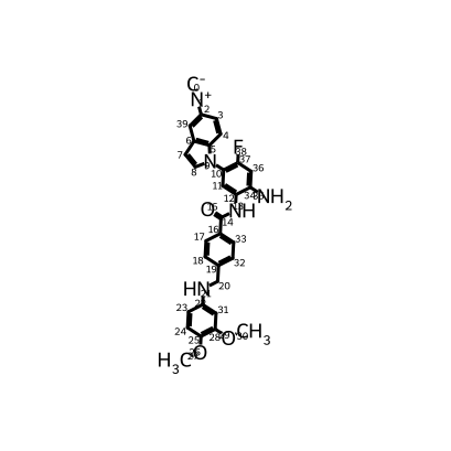 [C-]#[N+]c1ccc2c(ccn2-c2cc(NC(=O)c3ccc(CNc4ccc(OC)c(OC)c4)cc3)c(N)cc2F)c1